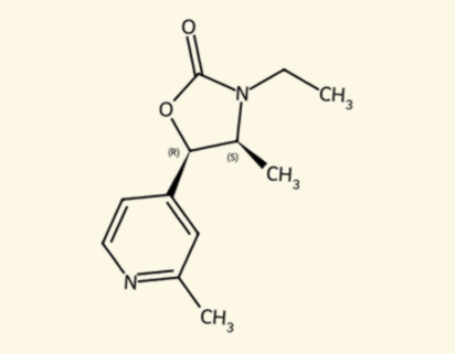 CCN1C(=O)O[C@H](c2ccnc(C)c2)[C@@H]1C